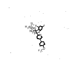 CC(O[Si](C)(C)C)(c1ccc(F)cc1F)C(F)(F)c1ccc(-c2ccc(OC(F)(F)F)cc2)cn1